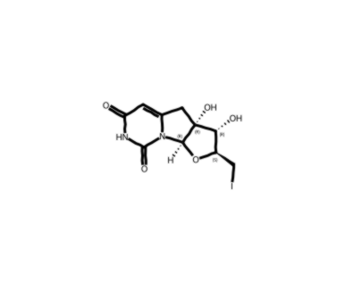 O=c1cc2n(c(=O)[nH]1)[C@@H]1O[C@H](CI)[C@@H](O)[C@]1(O)C2